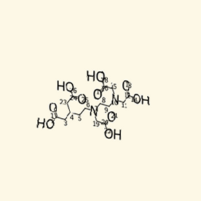 O=C(O)CC(CCN(CCN(CC(=O)O)CC(=O)O)CC(=O)O)CC(=O)O